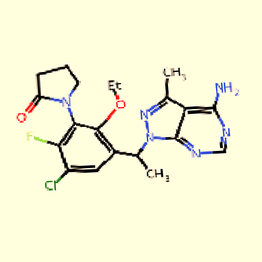 CCOc1c(C(C)n2nc(C)c3c(N)ncnc32)cc(Cl)c(F)c1N1CCCC1=O